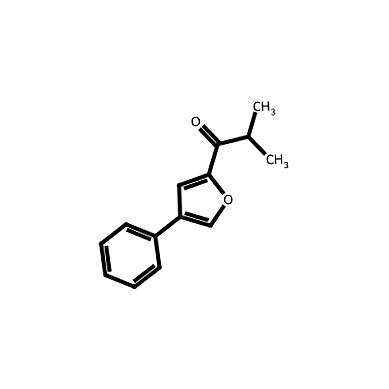 CC(C)C(=O)c1cc(-c2ccccc2)co1